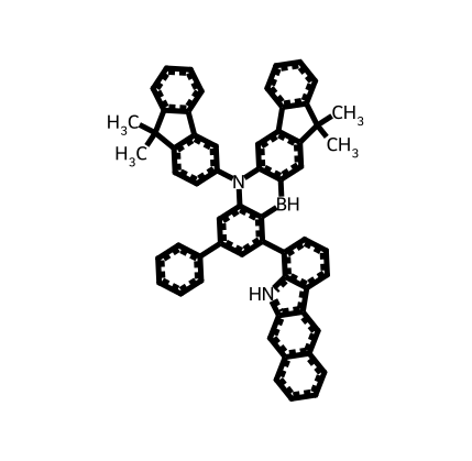 CC1(C)c2ccccc2-c2cc(N3c4cc5c(cc4Bc4c(-c6cccc7c6[nH]c6cc8ccccc8cc67)cc(-c6ccccc6)cc43)C(C)(C)c3ccccc3-5)ccc21